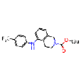 CC(C)(C)OC(=O)N1CCc2c(cccc2Nc2ccc(C(F)(F)F)cc2)C1